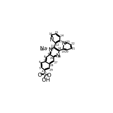 O=S(=O)(O)c1ccc2cc3nc(-c4ccccn4)c(-c4ccccn4)nc3cc2c1.[Na]